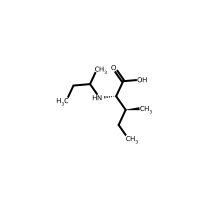 CCC(C)N[C@H](C(=O)O)[C@@H](C)CC